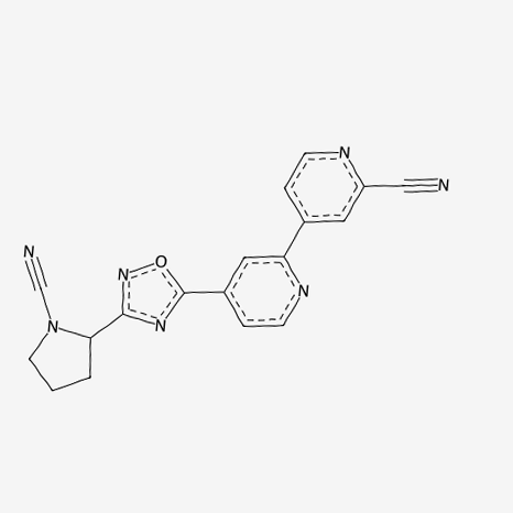 N#Cc1cc(-c2cc(-c3nc(C4CCCN4C#N)no3)ccn2)ccn1